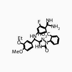 CCOc1cc(C(Nc2ccc(C(=N)N)c(F)c2)c2nn(-c3ccccc3C(=O)O)c(=O)[nH]2)ccc1OC